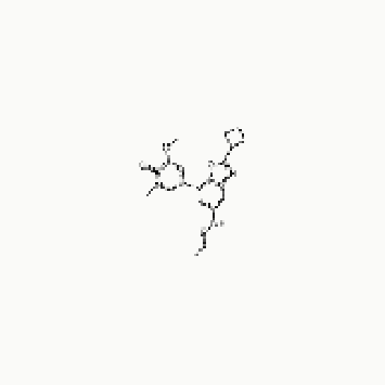 CCSNc1cc(-c2cc(OC)c(=O)n(C)c2)c2oc(C3CCC3)nc2c1